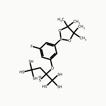 CC1(C)OB(c2cc(F)cc(OC(S)(CC(S)(S)S)C(S)(S)S)c2)OC1(C)C